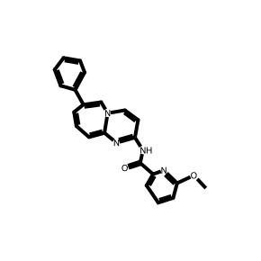 COc1cccc(C(=O)NC2=NC3=CC=CC(c4ccccc4)=CN3C=C2)n1